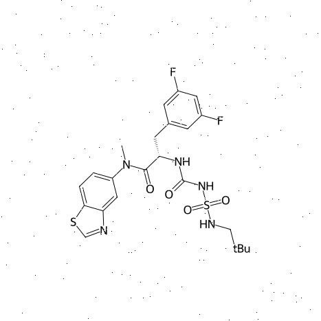 CN(C(=O)[C@H](Cc1cc(F)cc(F)c1)NC(=O)NS(=O)(=O)NCC(C)(C)C)c1ccc2scnc2c1